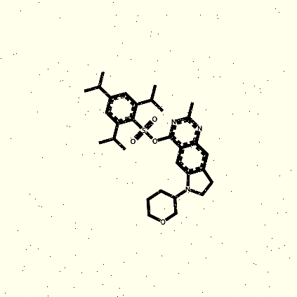 Cc1nc(OS(=O)(=O)c2c(C(C)C)cc(C(C)C)cc2C(C)C)c2cc3c(cc2n1)CCN3C1CCCOC1